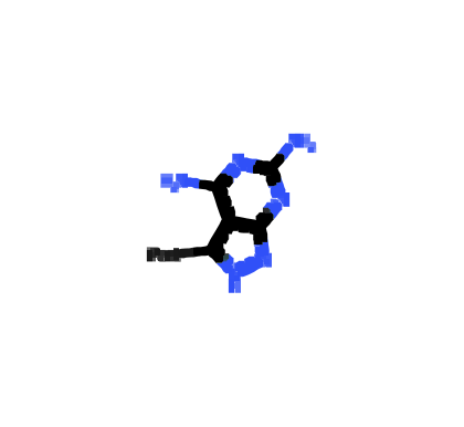 CCCC(C)c1[nH]nc2nc(N)nc(N)c12